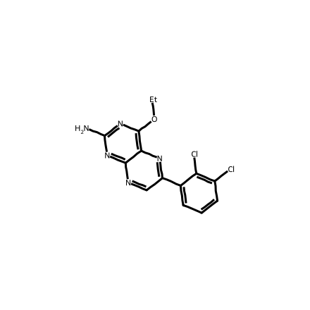 CCOc1nc(N)nc2ncc(-c3cccc(Cl)c3Cl)nc12